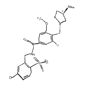 CCS(=O)(=O)c1ccc(Cl)cc1CNC(=O)c1cc(Cl)c(CN2CC[C@@H](NC)C2)c(OC(F)(F)F)c1